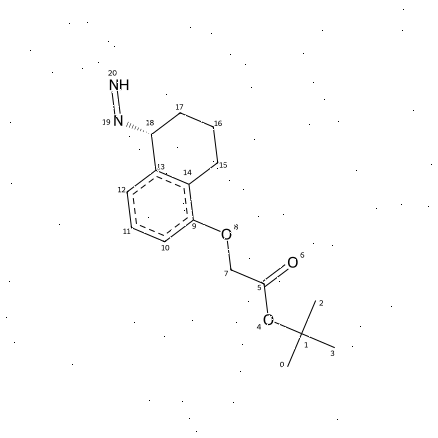 CC(C)(C)OC(=O)COc1cccc2c1CCC[C@H]2N=N